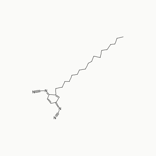 CCCCCCCCCCCCCCCCCCC1=CC(=NC#N)C=CC1=NC#N